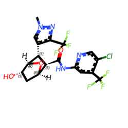 Cn1cc([C@H]2[C@H]3O[C@H](C[C@@H]3O)[C@@H]2C(=O)Nc2cc(C(F)(F)F)c(Cl)cn2)c(C(F)(F)F)n1